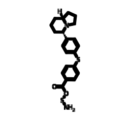 NSOC(=O)c1ccc(Sc2ccc([C@@H]3CCC[C@@H]4CCCN43)cc2)cc1